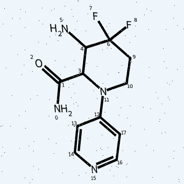 NC(=O)C1C(N)C(F)(F)CCN1c1[c]cncc1